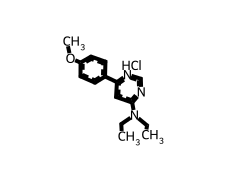 CCN(CC)c1cc(-c2ccc(OC)cc2)ncn1.Cl